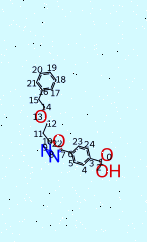 O=C(O)c1ccc(-c2nnc(CCOCCc3ccccc3)o2)cc1